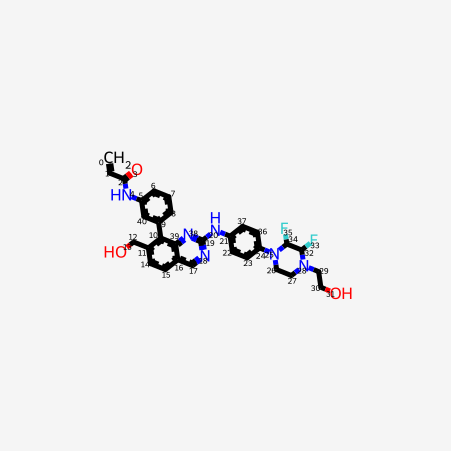 C=CC(=O)Nc1cccc(-c2c(CO)ccc3cnc(Nc4ccc(N5CCN(CCO)C(F)C5F)cc4)nc23)c1